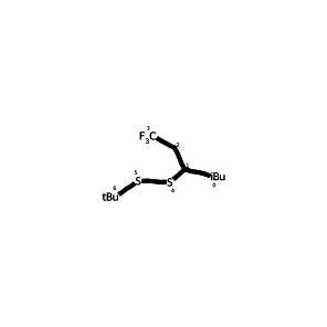 CCC(C)C(CC(F)(F)F)SSC(C)(C)C